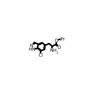 CC(C)OC(=O)C(N)Cc1cc(Cl)c2[nH]ncc2c1